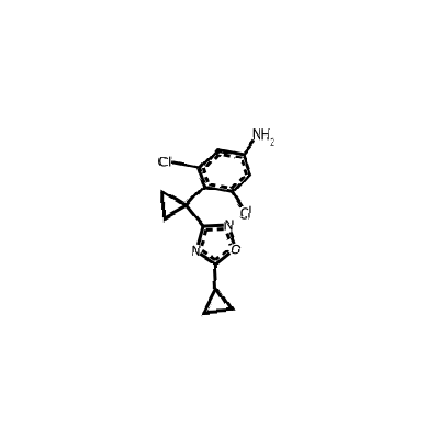 Nc1cc(Cl)c(C2(c3noc(C4CC4)n3)CC2)c(Cl)c1